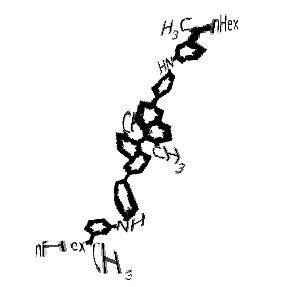 CCCCCCC(C)c1cccc(Nc2ccc(-c3ccc4c(-c5c(C)ccc6cc(-c7ccc(Nc8cccc(C(C)CCCCCC)c8)cc7)ccc56)c(C)ccc4c3)cc2)c1